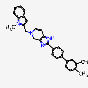 Cc1ccc(-c2ccc(-c3nc4c([nH]3)C=CN(Cc3cc5ccccc5n3C)C4)cc2)cc1C